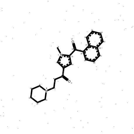 Cn1cc(C(=O)CCN2CCCCC2)cc1C(=O)c1cccc2ccccc12